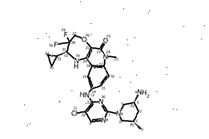 C[C@@H]1C[C@H](N)CN(c2ncc(Cl)c(Nc3ccc4c(c3)c3c(c(=O)n4C)OCC(F)(F)[C@H](C4CC4)N3)n2)C1